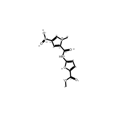 COC(=O)c1ccc(NC(=O)c2cc([N+](=O)[O-])cn2C)o1